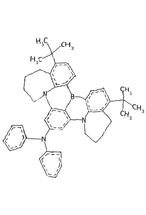 CC(C)(C)c1ccc2c3c1CCCCN3c1cc(N(c3ccccc3)c3ccccc3)cc3c1B2c1ccc(C(C)(C)C)c2c1N3CCCC2